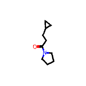 O=C(CCC1CC1)N1CCCC1